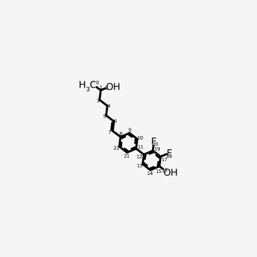 CC(O)CCCC=Cc1ccc(-c2ccc(O)c(F)c2F)cc1